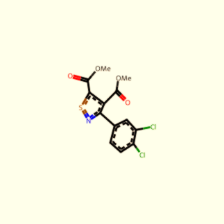 COC(=O)c1snc(-c2ccc(Cl)c(Cl)c2)c1C(=O)OC